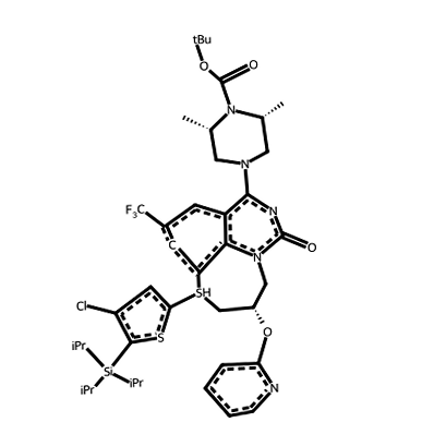 CC(C)[Si](c1sc([SH]2C[C@@H](Oc3ccccn3)Cn3c(=O)nc(N4C[C@@H](C)N(C(=O)OC(C)(C)C)[C@@H](C)C4)c4cc(C(F)(F)F)cc2c43)cc1Cl)(C(C)C)C(C)C